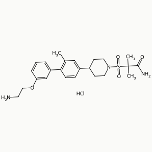 Cc1cc(C2CCN(S(=O)(=O)C(C)(C)C(N)=O)CC2)ccc1-c1cccc(OCCN)c1.Cl